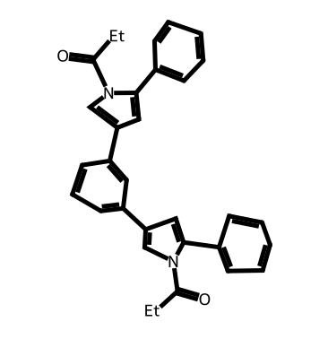 CCC(=O)n1cc(-c2cccc(-c3cc(-c4ccccc4)n(C(=O)CC)c3)c2)cc1-c1ccccc1